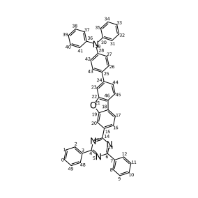 c1ccc(-c2nc(-c3ccccc3)nc(-c3ccc4c(c3)oc3cc(-c5ccc(N(c6ccccc6)c6ccccc6)cc5)ccc34)n2)cc1